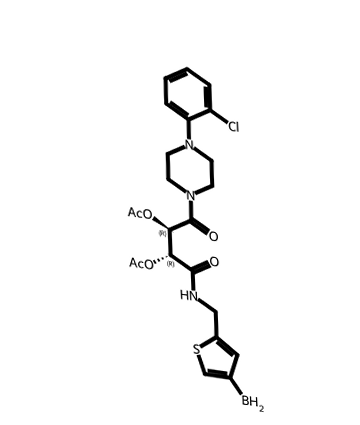 Bc1csc(CNC(=O)[C@H](OC(C)=O)[C@@H](OC(C)=O)C(=O)N2CCN(c3ccccc3Cl)CC2)c1